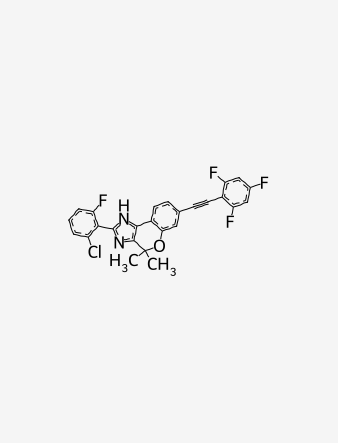 CC1(C)Oc2cc(C#Cc3c(F)cc(F)cc3F)ccc2-c2[nH]c(-c3c(F)cccc3Cl)nc21